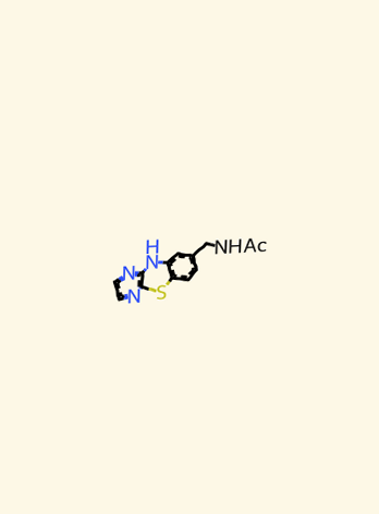 CC(=O)NCc1ccc2c(c1)Nc1nccnc1S2